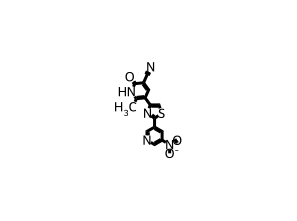 Cc1[nH]c(=O)c(C#N)cc1-c1csc(-c2cncc([N+](=O)[O-])c2)n1